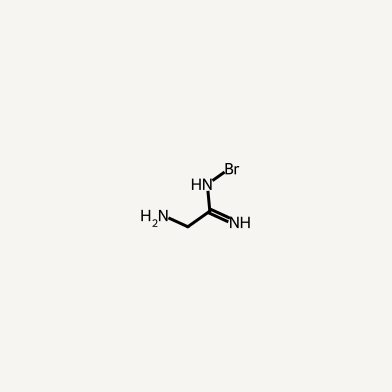 N=C(CN)NBr